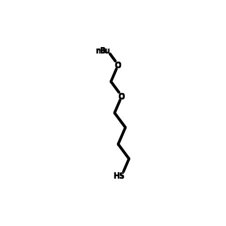 CCCCOCOCCCCS